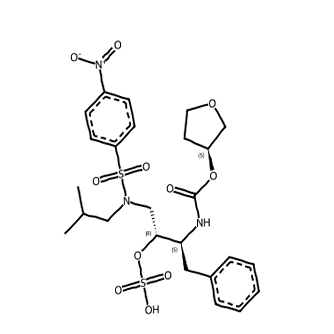 CC(C)CN(C[C@@H](OS(=O)(=O)O)[C@H](Cc1ccccc1)NC(=O)O[C@H]1CCOC1)S(=O)(=O)c1ccc([N+](=O)[O-])cc1